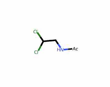 CC(=O)NC[C](Cl)Cl